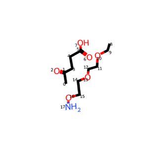 CC(=O)CCC(=O)O.CCOCCOCCON